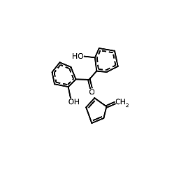 C=C1C=CC=C1.O=C(c1ccccc1O)c1ccccc1O